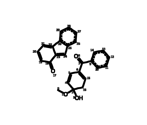 COC1(O)C=CC(C(=O)c2ccccc2)=CC1.O=C1C=CC=C2C1=Cc1ccccc12